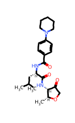 CC(C)C[C@H](NC(=O)c1ccc(N2CCCCC2)cc1)C(=O)N[C@@H]1C(=O)CO[C@@H]1C